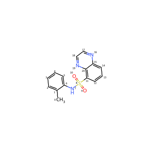 Cc1ccccc1NS(=O)(=O)c1cccc2nccnc12